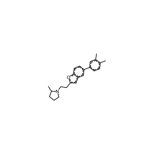 Cc1ccc(-c2ccc3oc(CCN4CCCC4C)cc3c2)cc1C